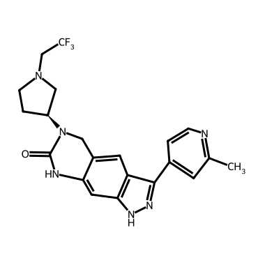 Cc1cc(-c2n[nH]c3cc4c(cc23)CN([C@H]2CCN(CC(F)(F)F)C2)C(=O)N4)ccn1